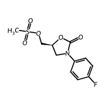 CS(=O)(=O)OC[C@@H]1CN(c2ccc(F)cc2)C(=O)O1